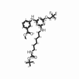 COC(=O)c1cccc(Nc2nc(NCCCCCCNC(=O)OC(C)(C)C)nc(OCC(F)(F)F)n2)c1